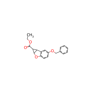 CCOC(=O)C1C2Oc3ccc(OCc4ccccc4)cc3C21